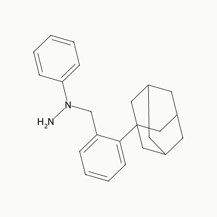 NN(Cc1ccccc1C12CC3CC(CC(C3)C1)C2)c1ccccc1